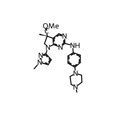 COC[C@@]1(C)CN(c2ccn(C)n2)c2nc(Nc3ccc(N4CCN(C)CC4)cc3)ncc21